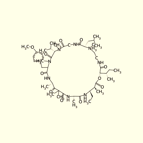 CC[C@H](C)[C@@H]1OC(=O)[C@@H](C)[C@@H](CC)NC(=O)[C@H](C)NC(=O)C(C)(C)C(=O)[C@H](C)NC(=O)C(Cc2ccc(OC)cc2)N(C)C(=O)[C@H](C(C)C)N(C)C(=O)CNC(=O)[C@H](CC(C)C)N(C)CCNC1=O